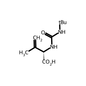 C=C(C)[C@H](NC(=O)NC(C)(C)C)C(=O)O